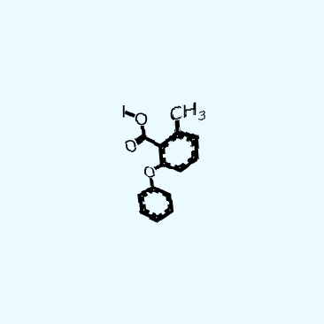 Cc1cccc(Oc2ccccc2)c1C(=O)OI